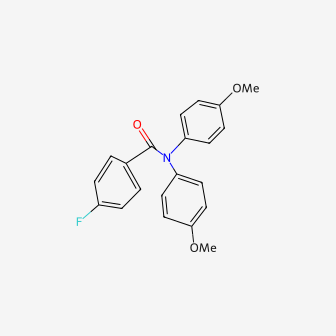 COc1ccc(N(C(=O)c2ccc(F)cc2)c2ccc(OC)cc2)cc1